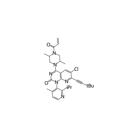 C=CC(=O)N1CC(C)N(c2nc(=O)n(-c3c(C)ccnc3C(C)C)c3nc(C#CC(C)(C)C)c(Cl)cc23)CC1C